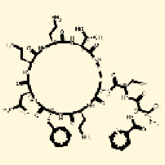 CC(C)C[C@@H]1NC(=O)[C@@H](Cc2ccccc2)NC(=O)[C@H](CCN)NC(=O)[C@@H](NC(=O)[C@@H](CO)NC(=O)[C@@H](NC(=O)c2ccccn2)[C@@H](C)O)CCNC(=O)[C@H]([C@@H](C)O)NC(=O)[C@H](CCN)NC(=O)[C@H](CCN)NC1=O